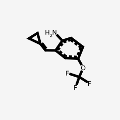 Nc1ccc(OC(F)(F)F)cc1C=C1CC1